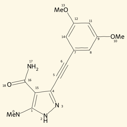 CNc1[nH]nc(C#Cc2cc(OC)cc(OC)c2)c1C(N)=O